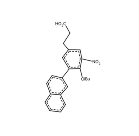 CC(C)COc1c(-c2ccc3ccccc3c2)cc(CCC(=O)O)cc1[N+](=O)[O-]